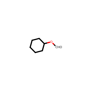 O=COC1CC[CH]CC1